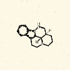 c1ccc2c(c1)c1c3n2NC[C@H]2CCCN(CC1)[C@H]32